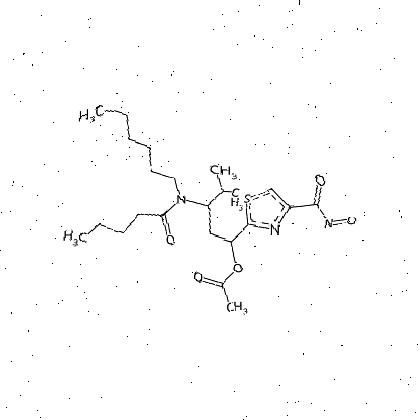 CCCCCCN(C(=O)CCCC)C(CC(OC(C)=O)c1nc(C(=O)N=O)cs1)C(C)C